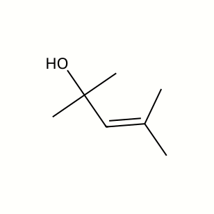 CC(C)=CC(C)(C)O